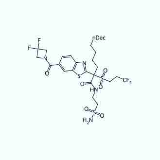 CCCCCCCCCCCCCCC(C(=O)NCCS(N)(=O)=O)(c1nc2ccc(C(=O)N3CC(F)(F)C3)cc2s1)S(=O)(=O)CCC(F)(F)F